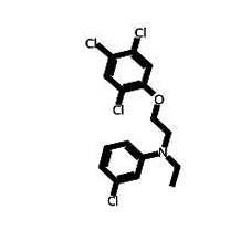 CCN(CCOc1cc(Cl)c(Cl)cc1Cl)c1cccc(Cl)c1